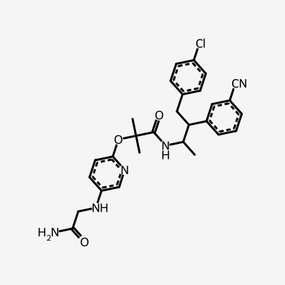 CC(NC(=O)C(C)(C)Oc1ccc(NCC(N)=O)cn1)C(Cc1ccc(Cl)cc1)c1cccc(C#N)c1